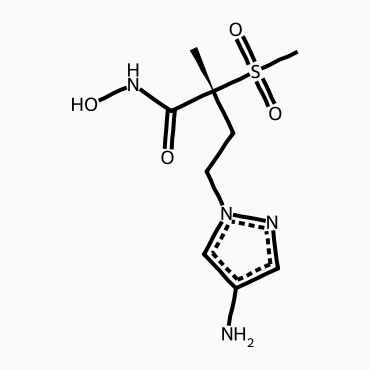 C[C@@](CCn1cc(N)cn1)(C(=O)NO)S(C)(=O)=O